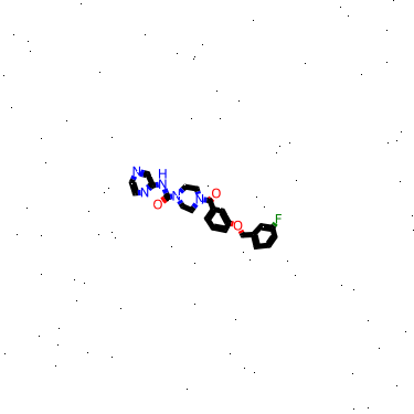 O=C(Nc1cnccn1)N1CCN(C(=O)c2cccc(OCc3cccc(F)c3)c2)CC1